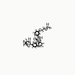 C[C@@H](NC(=O)c1ccc2c(n1)N(C(=O)Nc1cc(OCCOPI)ccn1)[C@H]1CCN2C1)C(F)(F)F